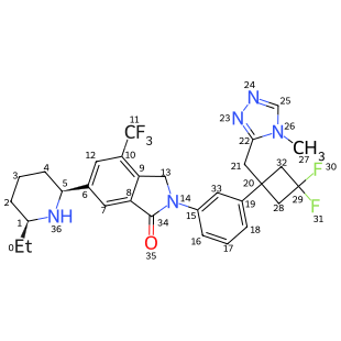 CC[C@H]1CCC[C@@H](c2cc3c(c(C(F)(F)F)c2)CN(c2cccc(C4(Cc5nncn5C)CC(F)(F)C4)c2)C3=O)N1